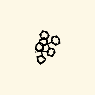 ClC(c1ccccc1)(c1ccccc1)c1ccccc1C(c1ccccc1)(c1ccccc1)c1ccccc1